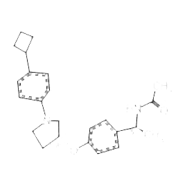 CC(=O)N[C@@H](C)c1ccc(O[C@@H]2CCN(c3ccc(C4CCC4)cc3)C2)cc1